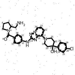 NCC1CCCN1C(=O)c1ccc(Nc2nc3c(N4CCC(O)(c5ccc(Cl)cc5)CC4)cccn3n2)cc1